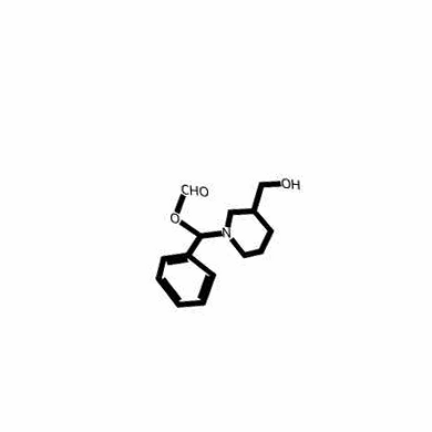 O=COC(c1ccccc1)N1CCCC(CO)C1